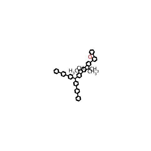 CC1(C)c2cc(-c3cccc4c3oc3ccccc34)ccc2-c2cc3c(cc21)-c1ccc(C(c2ccc(-c4ccc(-c5ccccc5)cc4)cc2)c2ccc(-c4ccc(-c5ccccc5)cc4)cc2)cc1C3(C)C